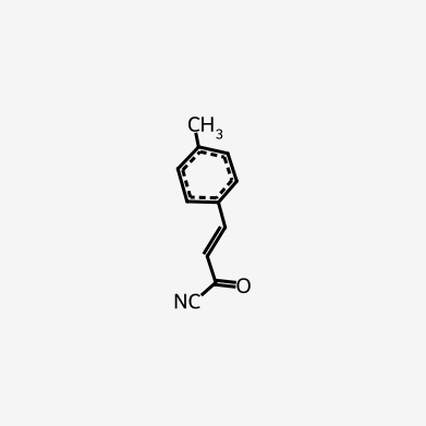 Cc1ccc(C=CC(=O)C#N)cc1